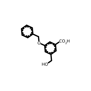 O=C(O)c1cc(CO)cc(OCc2ccccc2)c1